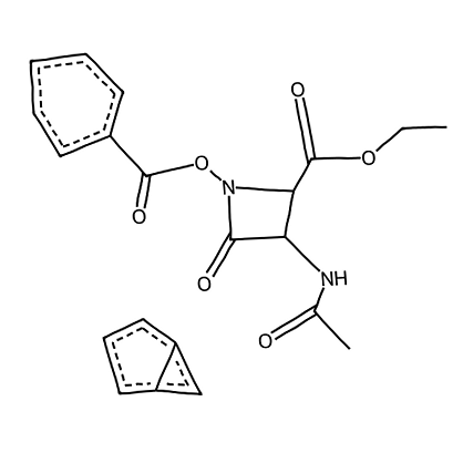 CCOC(=O)C1C(NC(C)=O)C(=O)N1OC(=O)c1ccccc1.c1cc2cc-2c1